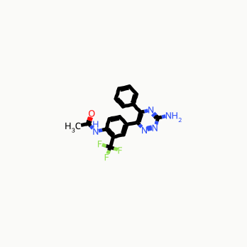 CC(=O)Nc1ccc(-c2nnc(N)nc2-c2ccccc2)cc1C(F)(F)F